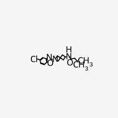 CC(C)CC(=O)NC1CC2(C1)CN(c1nc3cc(Cl)ccc3o1)C2